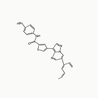 C=C/C(=C\C=C/C)c1cnc2c(-c3csc(C(=O)Nc4ccc(CCCC)cc4)c3)cnn2c1